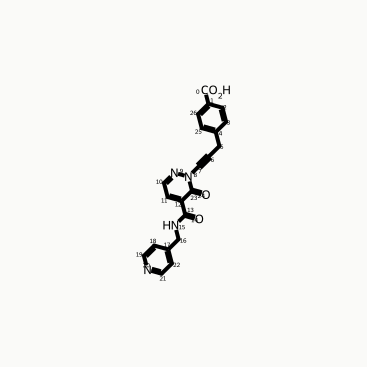 O=C(O)c1ccc(CC#Cn2nccc(C(=O)NCc3ccncc3)c2=O)cc1